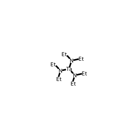 CC[N](CC)[Ta]([N](CC)CC)[N](CC)CC